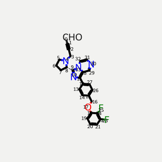 O=CC#CCN1CCC[C@H]1c1nc(-c2ccc(COc3cccc(F)c3F)cc2)c2cnccn12